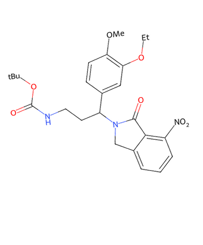 CCOc1cc(C(CCNC(=O)OC(C)(C)C)N2Cc3cccc([N+](=O)[O-])c3C2=O)ccc1OC